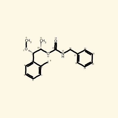 CO[C@@H](c1ccccc1I)[C@H](C)OC(=O)NCc1ccccc1